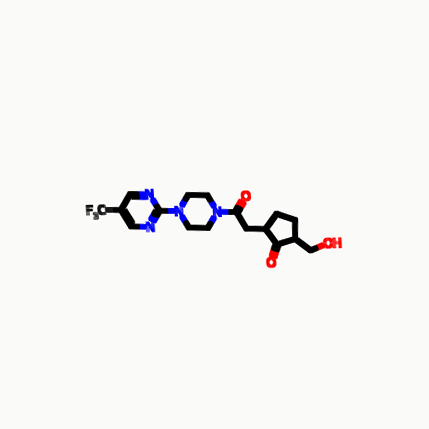 O=C1C(CO)CCC1CC(=O)N1CCN(c2ncc(C(F)(F)F)cn2)CC1